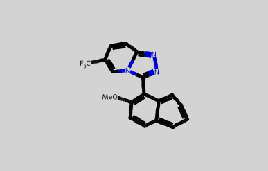 COc1ccc2ccccc2c1-c1nnc2ccc(C(F)(F)F)cn12